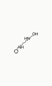 OCCCNCCCCCCNCc1ccccc1